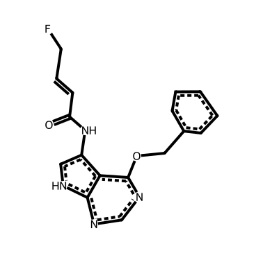 O=C(/C=C/CF)Nc1c[nH]c2ncnc(OCc3ccccc3)c12